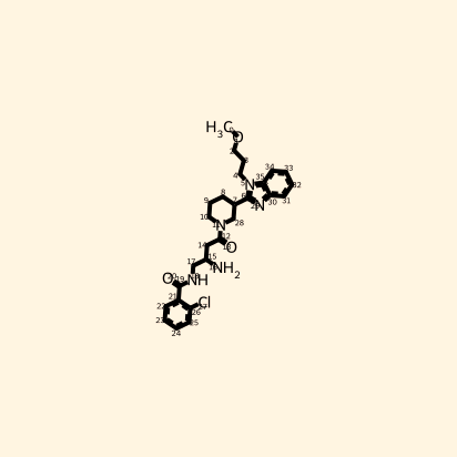 COCCCn1c(C2CCCN(C(=O)CC(N)CNC(=O)c3ccccc3Cl)C2)nc2ccccc21